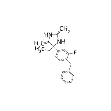 C=C1NC(=C)C(CC)(c2ccc(Cc3ccccc3)c(F)c2)N1